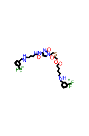 O=C(CCCCCNCc1cccc(C(F)(F)F)c1)Nc1ccn(C2CSC(COC(=O)CCCCCNCc3cccc(C(F)(F)F)c3)O2)c(=O)n1